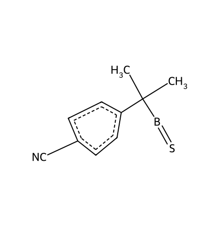 CC(C)(B=S)c1ccc(C#N)cc1